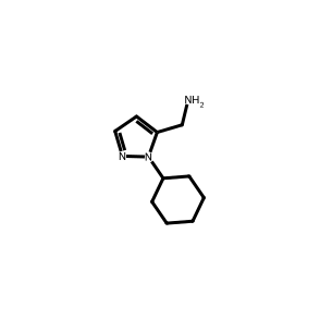 NCc1ccnn1C1CCCCC1